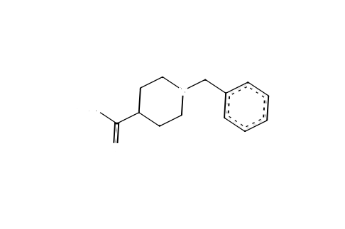 CCCCCCC(=O)C1CCN(Cc2ccccc2)CC1